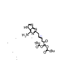 CC(C)(C)C(=O)OC(OC(=O)C(C)(C)C)[PH](=O)C/C=C/Cc1nc(N)c2[nH]cnc2n1